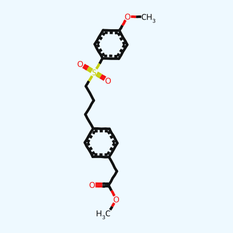 COC(=O)Cc1ccc(CCCS(=O)(=O)c2ccc(OC)cc2)cc1